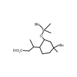 CCCCC1(C)CCC(C(C)CC(=O)OCC)C(O[Si](C)(C)C(C)(C)C)C1